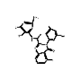 CC(Nc1nc(N)nc(Cl)c1C#N)c1nc2cccc(F)c2c(=O)n1-c1cc(F)cc(F)c1